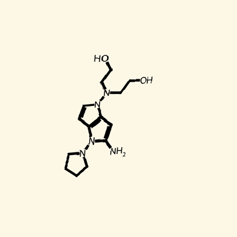 Nc1cc2c(ccn2N(CCO)CCO)n1N1CCCC1